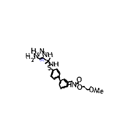 COCCOC(=O)NCc1cccc(-c2ccc(SNC(C)(C)/C(=C/N)NN)cc2)c1